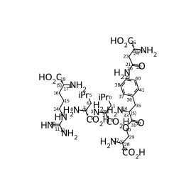 CC(C)C[C@H](N)C(=O)O.CC(C)C[C@H](N)C(=O)O.N=C(N)NCCC[C@H](N)C(=O)O.NC(=O)C[C@H](N)C(=O)O.N[C@@H](COC(=O)[C@@H](N)Cc1ccccc1)C(=O)O